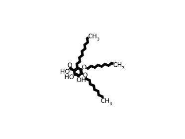 CCCCCCCCCCc1c(OCCCCCCCCC)c(OCCCCCCCCC)c(O)c(O)c1C(=O)O